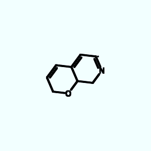 [C]1=NCC2OCC=CC2=C1